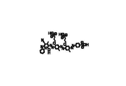 Cc1cc(N=Nc2cc(OCCCS(=O)(=O)O)c(N=Nc3c(C)c(C#N)c4nc5ccccc5n4c3O)cc2C)c(OCCCS(=O)(=O)O)cc1N=Nc1ccc(S(=O)(=O)O)cc1